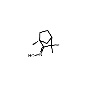 CC1(C)C(=NO)[C@]2(C)CCC1C2